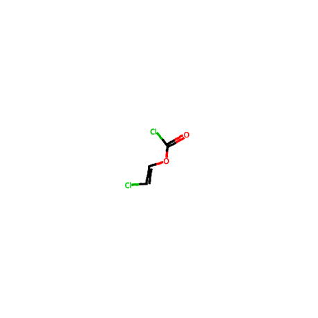 O=C(Cl)OC=CCl